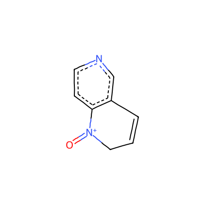 O=[N+]1CC=Cc2cnccc21